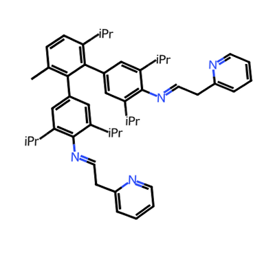 Cc1ccc(C(C)C)c(-c2cc(C(C)C)c(N=CCc3ccccn3)c(C(C)C)c2)c1-c1cc(C(C)C)c(N=CCc2ccccn2)c(C(C)C)c1